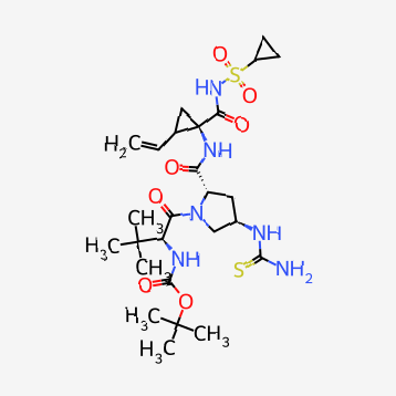 C=CC1C[C@]1(NC(=O)[C@@H]1C[C@@H](NC(N)=S)CN1C(=O)[C@@H](NC(=O)OC(C)(C)C)C(C)(C)C)C(=O)NS(=O)(=O)C1CC1